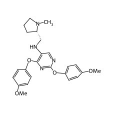 COc1ccc(Oc2ncc(NC[C@@H]3CCCN3C)c(Oc3ccc(OC)cc3)n2)cc1